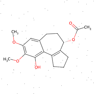 COc1cc2c(c(O)c1OC)C1=C(CCC1)[C@@H](OC(C)=O)CC2